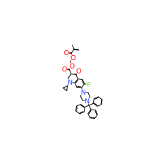 C=C(C)C(=O)OCOC(=O)C1CN(C2CC2)c2cc(N3CCN(C(c4ccccc4)(c4ccccc4)c4ccccc4)CC3)c(F)cc2C1=O